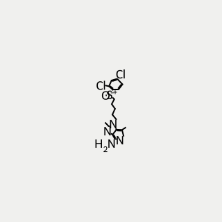 Cc1cnc(N)c2nc(C)n(CCCCC[S+]([O-])c3ccc(Cl)cc3Cl)c12